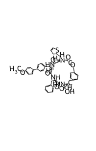 COc1ccc(-c2ccc(C[C@@H]3NC(=O)[C@H](CC4CC=CS4)NC(=O)COc4ccc(cc4)C[C@@H](C(=O)O)NC(=O)[C@H](Cc4ccccc4)NC3=O)cc2)cc1